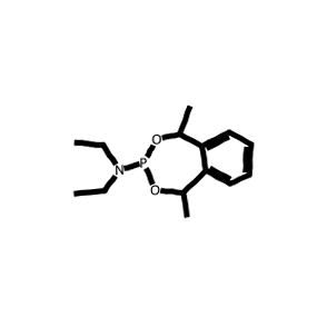 CCN(CC)P1OC(C)c2ccccc2C(C)O1